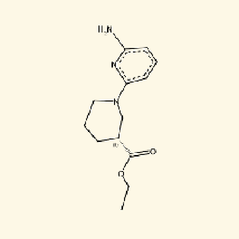 CCOC(=O)[C@@H]1CCCN(c2cccc(N)n2)C1